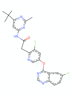 Cc1nc(NC(=O)Cc2ncc(Oc3ncnc4ccc(F)cc34)cc2F)cc(C(C)(C)C)n1